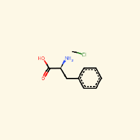 CCl.N[C@@H](Cc1ccccc1)C(=O)O